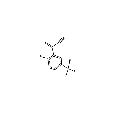 N#CC(=S)c1cc(C(F)(F)F)ccc1F